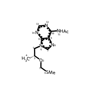 CSCO[C@H](C)Cn1cnc2c(NC(C)=O)ncnc21